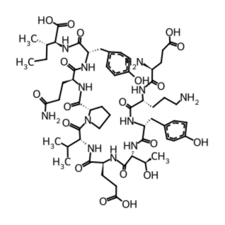 CC[C@H](C)[C@H](NC(=O)[C@H](Cc1ccc(O)cc1)NC(=O)[C@H](CCC(N)=O)NC(=O)[C@@H]1CCCN1C(=O)[C@H](NC(=O)[C@H](CCC(=O)O)NC(=O)[C@H](NC(=O)[C@@H](Cc1ccc(O)cc1)NC(=O)[C@@H](CCCN)NC(=O)[C@@H](N)CCC(=O)O)[C@@H](C)O)C(C)C)C(=O)O